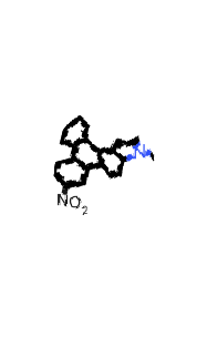 Cn1ccc2c3c4ccccc4c4ccc([N+](=O)[O-])cc4c3ccc21